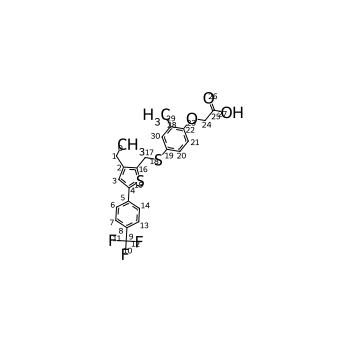 CCc1cc(-c2ccc(C(F)(F)F)cc2)sc1CSc1ccc(OCC(=O)O)c(C)c1